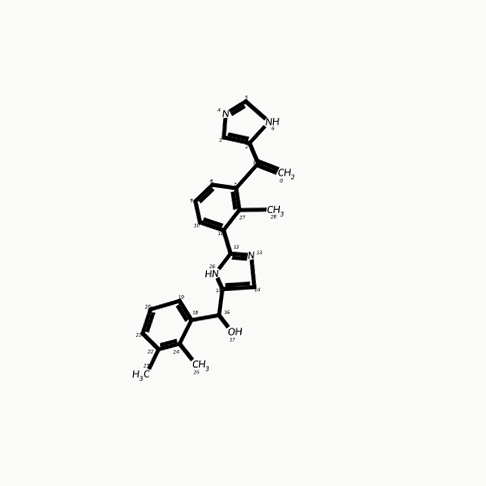 C=C(c1cnc[nH]1)c1cccc(-c2ncc(C(O)c3cccc(C)c3C)[nH]2)c1C